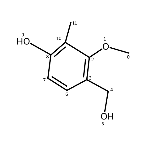 COc1c(CO)ccc(O)c1C